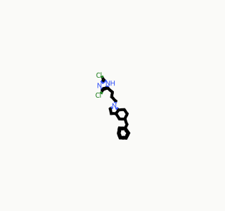 Clc1nc(Cl)c(CCCN2CCC3CC(Cc4ccccc4)CCC32)[nH]1